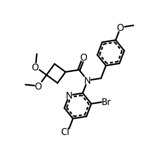 COc1ccc(CN(C(=O)C2CC(OC)(OC)C2)c2ncc(Cl)cc2Br)cc1